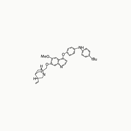 C=C[C@H]1CN2CCC1C[C@@H]2COc1cc2nccc(Oc3ccc(Nc4ccc(C(C)(C)C)cc4)cc3)c2cc1OC